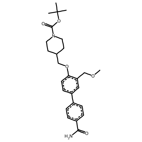 COCc1cc(-c2ccc(C(N)=O)cc2)ccc1OCC1CCN(C(=O)OC(C)(C)C)CC1